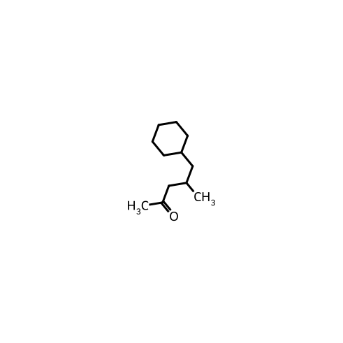 CC(=O)CC(C)CC1CCCCC1